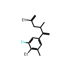 C=C(CC)CC(C)C(=C)c1cc(C)c(CC)c(F)c1